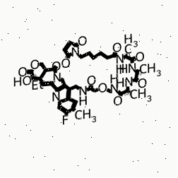 CC[C@@]1(O)C(=O)OCC2C(=O)N3Cc4c(nc5cc(F)c(C)cc5c4CNC(=O)COCNC(=O)[C@H](C)NC(=O)[C@H](C)NC(=O)[C@H](C)NC(=O)CCCCCN4C(=O)C=CC4=O)C3=CC21